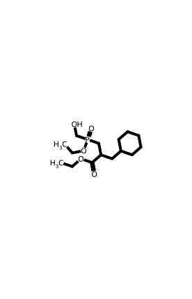 CCOC(=O)C(CC1CCCCC1)CP(=O)(CO)OCC